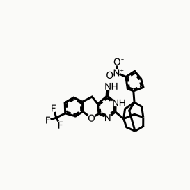 N=c1[nH]c(C23CC4CC(CC(c5cccc([N+](=O)[O-])c5)(C4)C2)C3)nc2c1Cc1ccc(C(F)(F)F)cc1O2